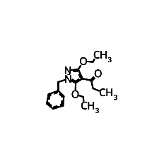 CCOc1nn(Cc2ccccc2)c(OCC)c1C(=O)CC